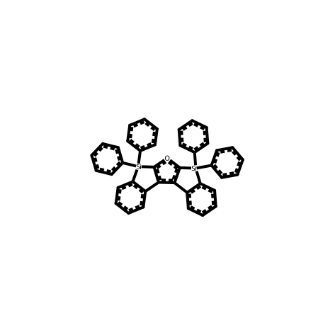 c1ccc([Si]2(c3ccccc3)c3ccccc3-c3c2oc2c3-c3ccccc3[Si]2(c2ccccc2)c2ccccc2)cc1